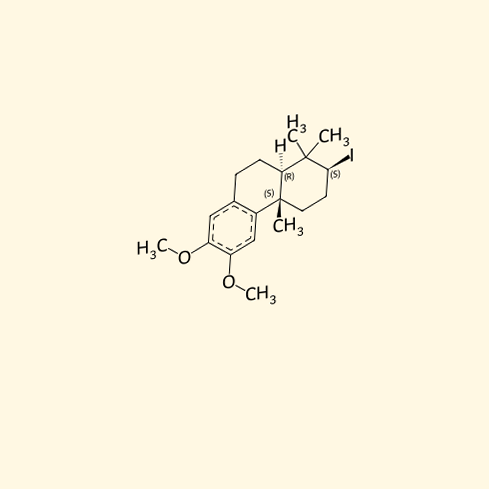 COc1cc2c(cc1OC)[C@@]1(C)CC[C@H](I)C(C)(C)[C@@H]1CC2